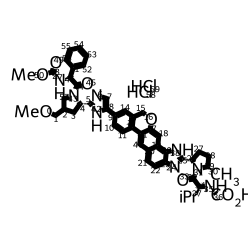 COCC1C[C@@H](c2ncc(-c3ccc4c(c3)COc3cc5c(ccc6nc([C@@H]7CC[C@H](C)N7C(=O)[C@@H](NC(=O)O)C(C)C)[nH]c65)cc3-4)[nH]2)N(C(=O)[C@H](NC(=O)OC)c2ccccc2)C1.Cl.Cl